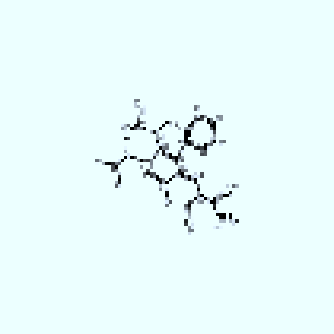 CC(C)CN1C=C2CC(=O)C(C(N)=S)C=C2C(c2ccccc2)=C1N(C)C(=O)O